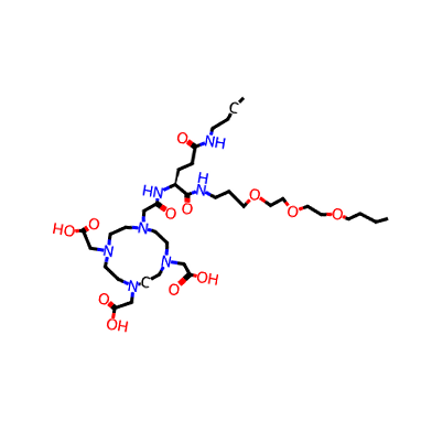 CCCCNC(=O)CC[C@H](NC(=O)CN1CCN(CC(=O)O)CCN(CC(=O)O)CCN(CC(=O)O)CC1)C(=O)NCCCOCCOCCOCCCC